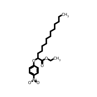 CCCCCCCCCCCCC(Oc1ccc([N+](=O)[O-])cc1)C(=O)OCC